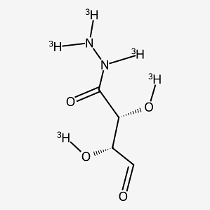 [3H]O[C@@H](C=O)[C@@H](O[3H])C(=O)N([3H])N([3H])[3H]